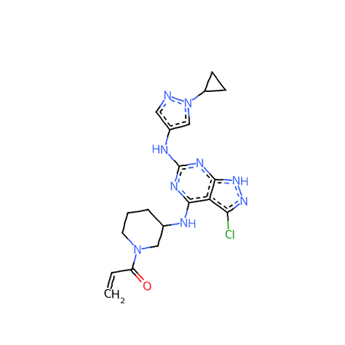 C=CC(=O)N1CCCC(Nc2nc(Nc3cnn(C4CC4)c3)nc3[nH]nc(Cl)c23)C1